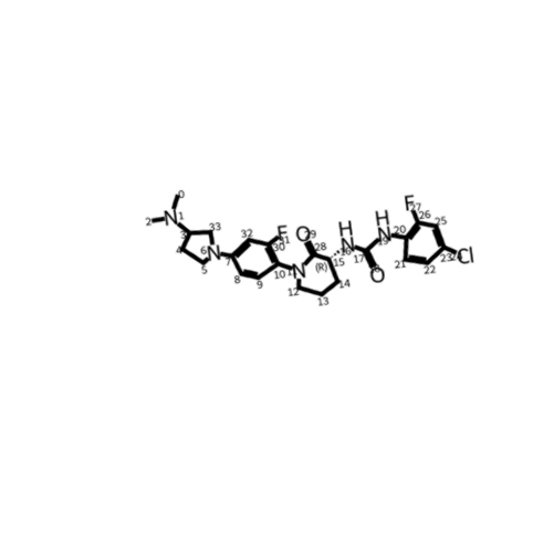 CN(C)C1CCN(c2ccc(N3CCC[C@@H](NC(=O)Nc4ccc(Cl)cc4F)C3=O)c(F)c2)C1